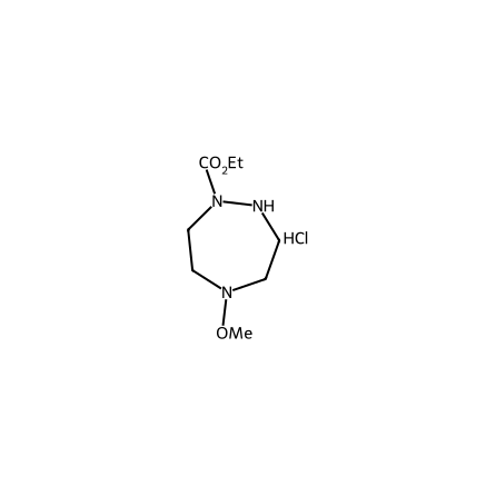 CCOC(=O)N1CCN(OC)CCN1.Cl